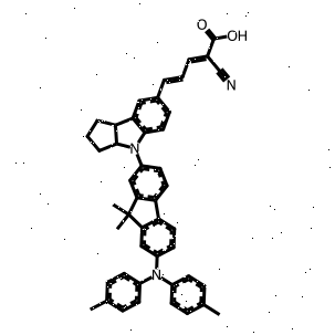 Cc1ccc(N(c2ccc(C)cc2)c2ccc3c(c2)C(C)(C)c2cc(N4c5ccc(/C=C/C=C(\C#N)C(=O)O)cc5C5CCCC54)ccc2-3)cc1